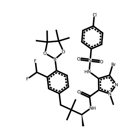 C[C@H](NC(=O)c1c(NS(=O)(=O)c2ccc(Cl)cc2)c(Br)nn1C)C(C)(C)Cc1ccc(B2OC(C)(C)C(C)(C)O2)c(C(F)F)c1